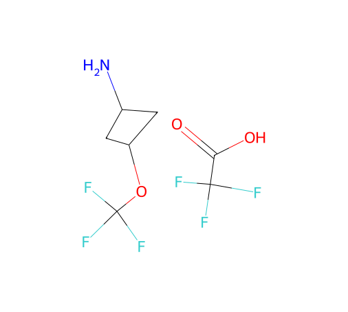 NC1CC(OC(F)(F)F)C1.O=C(O)C(F)(F)F